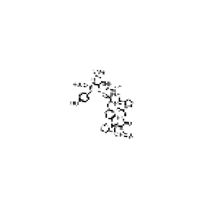 CSCC[C@H](NC(=O)[C@@H](NC(=O)[C@H](Cc1ccc(O)cc1)NC(=O)[C@@H]1CCCN1C(=O)CNC(=O)[C@H](CC(=O)O)NC(=O)[C@@H]1CCCN1)C(C)C)C(=O)N[C@@H](Cc1ccc(O)cc1)C(=O)O